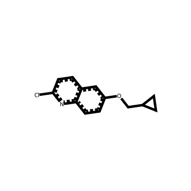 Clc1ccc2cc(OCC3CC3)ccc2n1